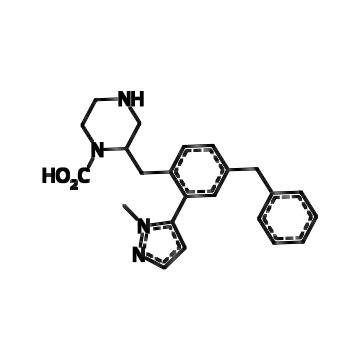 Cn1nccc1-c1cc(Cc2ccccc2)ccc1CC1CNCCN1C(=O)O